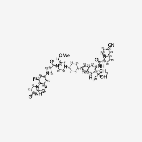 COC[C@H]1CN(C2CCC(n3cc4cc(NC(=O)c5ccc6cc(C#N)cnn56)c(C(C)(C)O)cc4n3)CC2)CCN1C(=O)C1CN(c2cc(F)c(N3CCC(=O)NC3=O)c(F)c2)C1